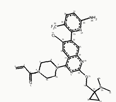 C=CC(=O)N1CCN(c2nc(OCC3(N(C)C)CC3)nc3cc(-c4nc(N)ccc4C(F)(F)F)c(Cl)cc23)CC1